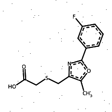 Cc1oc(-c2cccc(F)c2)nc1CSCC(=O)O